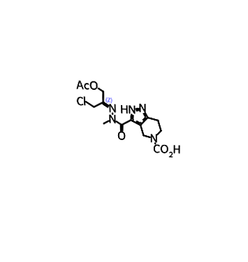 CC(=O)OC/C(CCl)=N/N(C)C(=O)c1[nH]nc2c1CN(C(=O)O)CC2